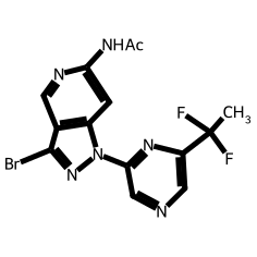 CC(=O)Nc1cc2c(cn1)c(Br)nn2-c1cncc(C(C)(F)F)n1